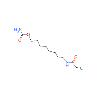 NC(=O)OCCCCCCCCNC(=O)CCl